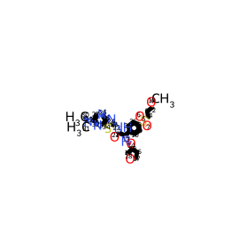 COCCCS(=O)(=O)c1ccc(/C(=N\O[C@@H]2CCOC2)C(=O)Nc2nc3ncc(N(C)C)nc3s2)cc1